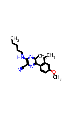 CCCCCNc1nc(C)c(-c2ccc(OC)cc2CC)nc1C#N